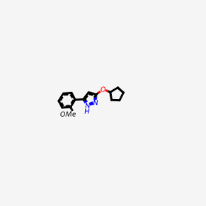 COc1ccccc1-c1cc(OC2CCCC2)n[nH]1